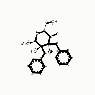 CO[C@H]1O[C@H](CO)[C@@H](O)[C@@](O)(Cc2ccccc2)[C@]1(O)Cc1ccccc1